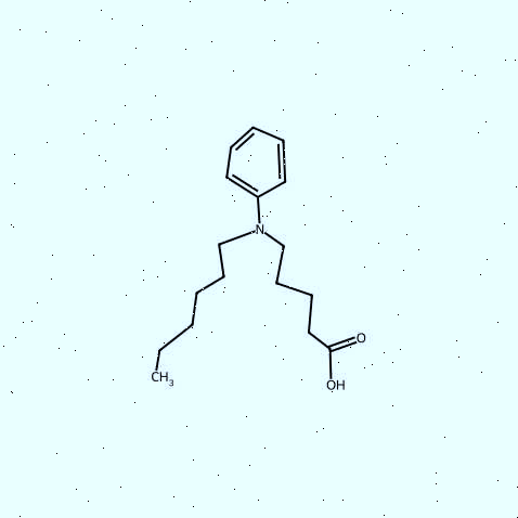 CCCCCCN(CCCCC(=O)O)c1ccccc1